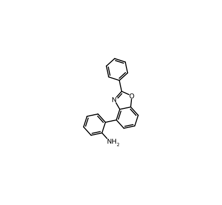 Nc1ccccc1-c1cccc2oc(-c3ccccc3)nc12